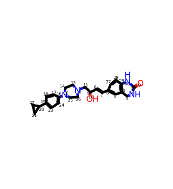 O=C1NCc2cc(C=CC(O)CN3CCN(c4ccc(C5CC5)cc4)CC3)ccc2N1